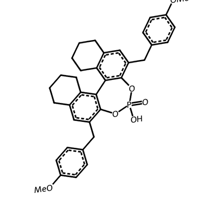 COc1ccc(Cc2cc3c(c4c2OP(=O)(O)Oc2c(Cc5ccc(OC)cc5)cc5c(c2-4)CCCC5)CCCC3)cc1